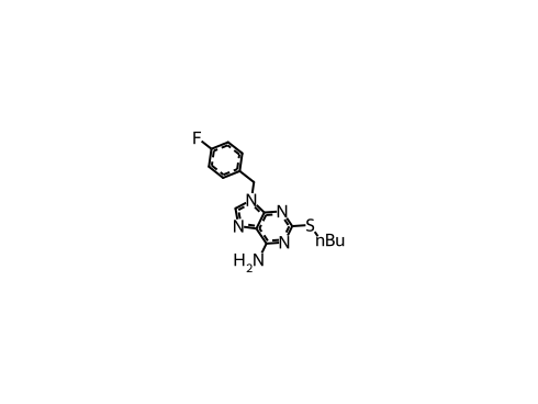 CCCCSc1nc(N)c2ncn(Cc3ccc(F)cc3)c2n1